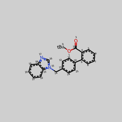 CC(C)(C)OC(=O)c1ccccc1-c1ccc(Cn2cnc3ccccc32)cc1